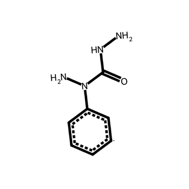 NNC(=O)N(N)c1c[c]ccc1